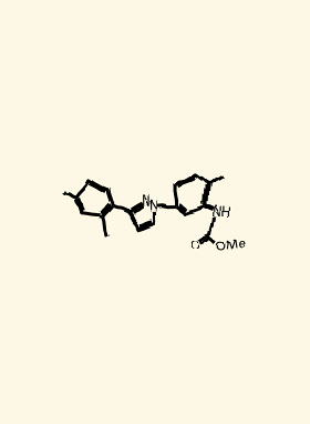 COC(=O)Nc1cc(-n2ccc(-c3ccc(C)cc3C)n2)ccc1C